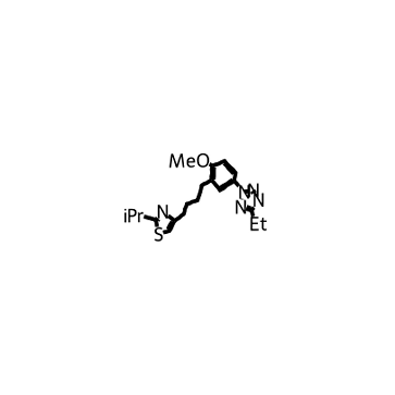 CCc1nnn(-c2ccc(OC)c(CCCCc3csc(C(C)C)n3)c2)n1